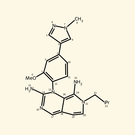 COc1cc(-c2cnn(C)c2)ccc1N1C(N)=NC=C2C=CN(CC(C)C)C(N)=C21